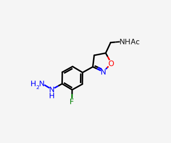 CC(=O)NCC1CC(c2ccc(NN)c(F)c2)=NO1